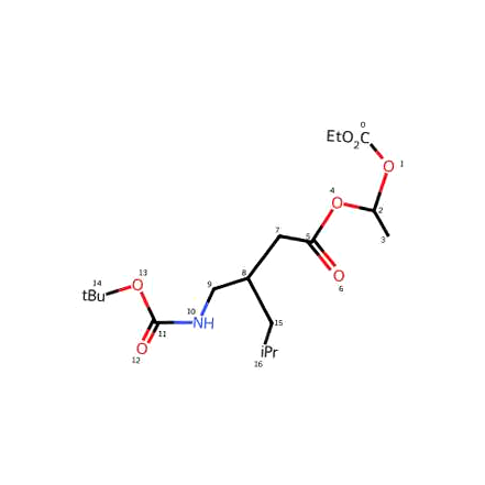 CCOC(=O)OC(C)OC(=O)CC(CNC(=O)OC(C)(C)C)CC(C)C